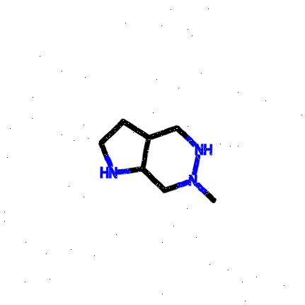 CN1CC2NCCC2CN1